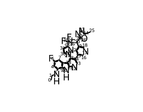 CCNc1cc(F)cc2c1[nH]c1ncc(-c3cncc(Cc4nnc(C)o4)c3)c(-n3ccc(C(F)(F)F)n3)c12